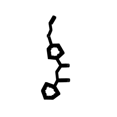 C=CCOc1ccc(C(=O)CC(=O)c2ccccc2)cc1